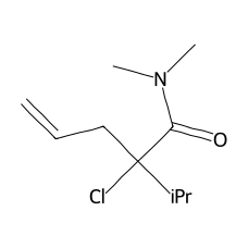 C=CCC(Cl)(C(=O)N(C)C)C(C)C